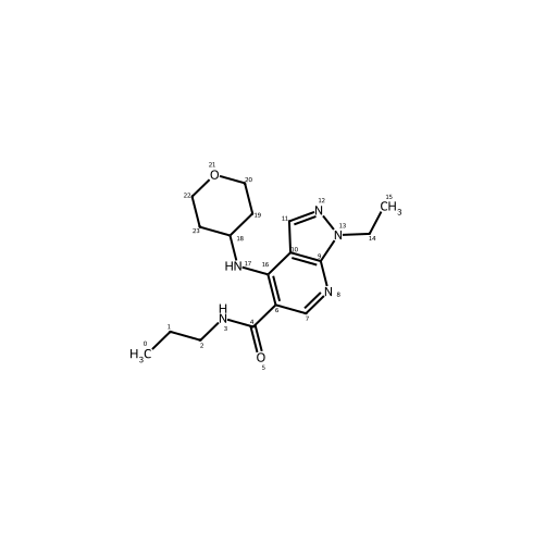 CCCNC(=O)c1cnc2c(cnn2CC)c1NC1CCOCC1